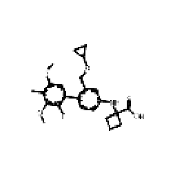 COc1cc(-c2ccc(NC3(C(=O)O)CCC3)cc2COC2CC2)c(F)c(OC)c1C